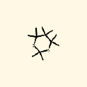 CC1(C)SC(C)(C)C(C)(C)C(C)(C)S1